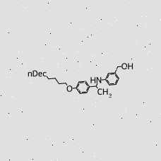 CCCCCCCCCCCCCCOc1ccc(C(C)Nc2cccc(CO)c2)cc1